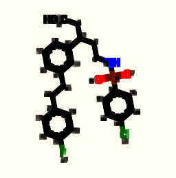 O=C(O)CC(CCNS(=O)(=O)c1ccc(Cl)cc1)c1cccc(CCc2ccc(F)cc2)c1